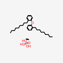 C=C.CCCCCCCCCc1ccccc1Oc1ccccc1CCCCCCCCC.O=P(O)(O)O